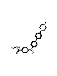 CN1CCN(c2ccc(-c3ccc([S+]([O-])N4CC=C(C(=O)NO)CC4)cc3)cc2)CC1